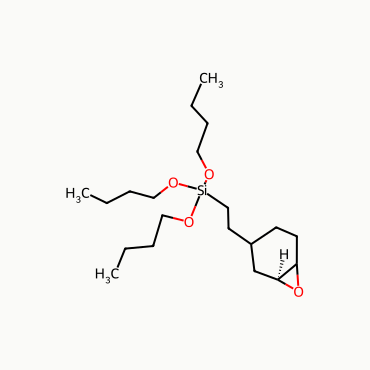 CCCCO[Si](CCC1CCC2O[C@H]2C1)(OCCCC)OCCCC